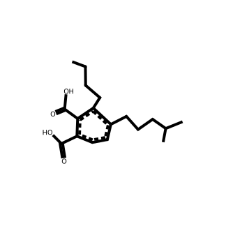 CCCCc1c(CCCC(C)C)ccc(C(=O)O)c1C(=O)O